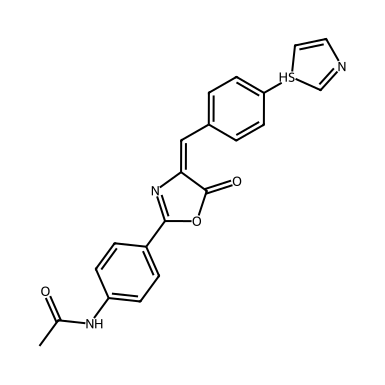 CC(=O)Nc1ccc(C2=NC(=Cc3ccc([SH]4C=CN=C4)cc3)C(=O)O2)cc1